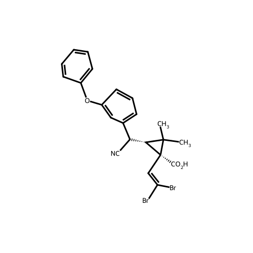 CC1(C)[C@@H](C(C#N)c2cccc(Oc3ccccc3)c2)[C@@]1(C=C(Br)Br)C(=O)O